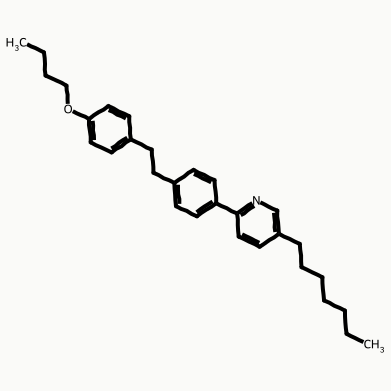 CCCCCCCc1ccc(-c2ccc(CCc3ccc(OCCCC)cc3)cc2)nc1